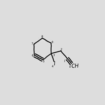 C#CCC1(I)C#CCCC1